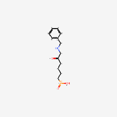 O=C(CCCC[PH](=O)O)CNCc1ccccc1